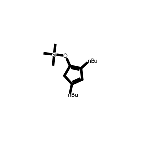 CCCCC1=CC(CCCC)=C(O[Si](C)(C)C)C1